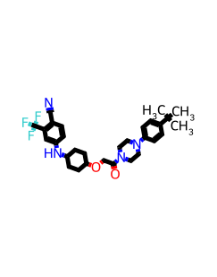 CC(C)(C)c1ccc(N2CCN(C(=O)COC3CCC(Nc4ccc(C#N)c(C(F)(F)F)c4)CC3)CC2)cc1